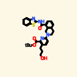 CC(C)(C)OC(=O)c1nc(N2CCc3cccc(C(=O)Nc4nc5ccccc5s4)c3C2)ccc1CCCO